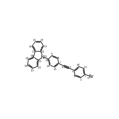 Brc1ccc(C#Cc2ccc(-n3c4ccccc4c4ccccc43)cc2)cc1